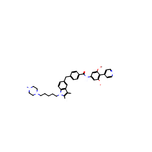 COc1cc(NC(=O)c2ccc(Cc3ccc4c(c3)c(C)c(C)n4CCCCCN3CCN(C)CC3)cc2)cc(OC)c1-c1ccncc1